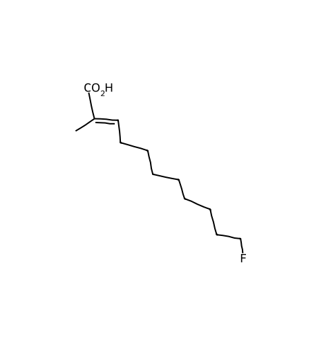 CC(=CCCCCCCCCF)C(=O)O